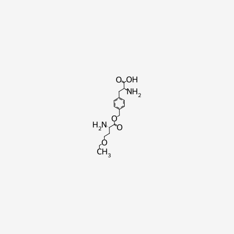 CCOCC[C@H](N)C(=O)OCc1ccc(C[C@H](N)C(=O)O)cc1